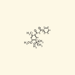 COc1cc(C)c(C(=O)CC(=O)c2ccccc2)cc1C(C)(C)C